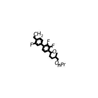 C=Cc1ccc(-c2ccc(C3CCC(COCCC)CO3)c(F)c2F)cc1F